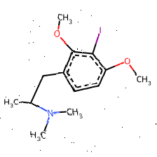 COc1ccc(CC(C)N(C)C)c(OC)c1I